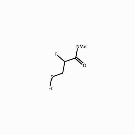 CCSCC(F)C(=O)NC